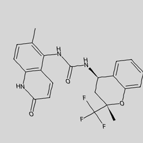 Cc1ccc2[nH]c(=O)ccc2c1NC(=O)N[C@@H]1C[C@@](C)(C(F)(F)F)Oc2ccccc21